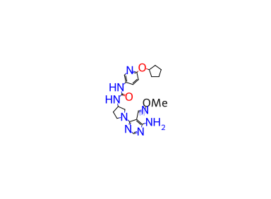 CO/N=C/c1c(N)ncnc1N1CCC(NC(=O)Nc2ccc(OC3CCCC3)nc2)C1